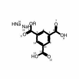 O=C(O)c1cc(C(=O)O)cc(C(=O)O)c1.[NaH].[NaH]